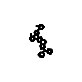 Cc1ccccc1-c1ccc(-c2ccccc2C)c(-c2ccc3c(ccc4cc(N(c5ccccc5)C5C=CC=CC5)ccc43)c2)c1